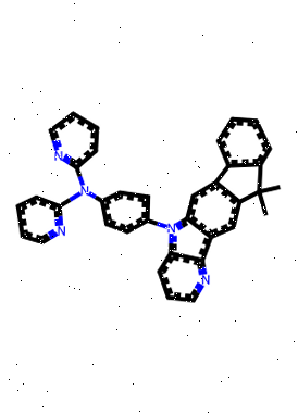 CC1(C)c2ccccc2-c2cc3c(cc21)c1ncccc1n3-c1ccc(N(c2ccccn2)c2ccccn2)cc1